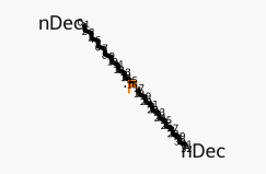 CCCCCCCCCCCCCCCCCCCCCCCCC[P]CCCCCCCCCCCCCCCCCCCCCCCCC